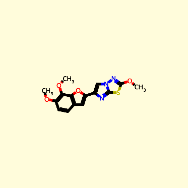 COc1nn2cc(-c3cc4ccc(OC)c(OC)c4o3)nc2s1